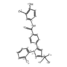 O=C(Nc1ccc(O)c(Cl)c1)c1ccc(-c2cc(C(F)(F)F)nn2-c2ccccc2Cl)cc1